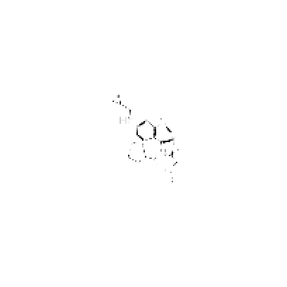 CCOCc1nc2cnc3cc(NCC4CC4)ccc3c2n1CC1CCOCC1